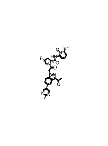 CC(=O)c1nn(CC(=O)N2C[C@H](F)C[C@H]2C(=O)Nc2cccc(Br)[n+]2[O-])c2ccc(-c3cnc(C)nc3)cc12